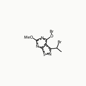 COc1nc(OBr)c2c(C(C)Br)nsc2n1